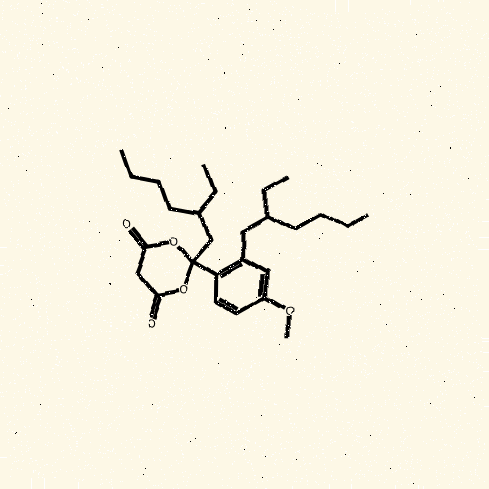 CCCCC(CC)Cc1cc(OC)ccc1C1(CC(CC)CCCC)OC(=O)CC(=O)O1